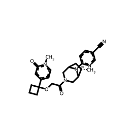 C[C@H]1CC2CN(C(=O)COC3(c4ccn(C)c(=O)c4)CCC3)CC1N2c1ccc(C#N)cn1